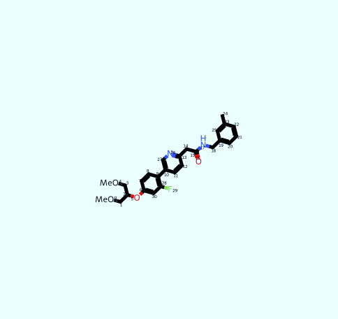 COCC(COC)Oc1ccc(-c2ccc(CC(=O)NCc3cccc(C)c3)nc2)c(F)c1